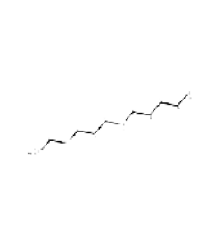 CSCNCCCOCCCCC(C)C